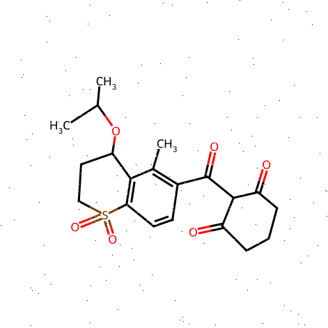 Cc1c(C(=O)C2C(=O)CCCC2=O)ccc2c1C(OC(C)C)CCS2(=O)=O